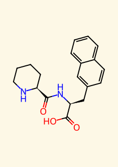 O=C(O)[C@H](Cc1ccc2ccccc2c1)NC(=O)[C@@H]1CCCCN1